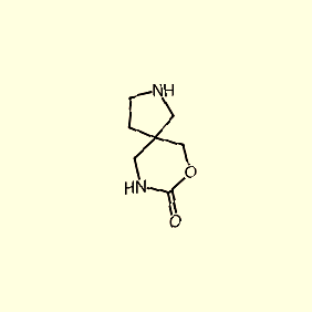 O=C1NCC2(CCNC2)CO1